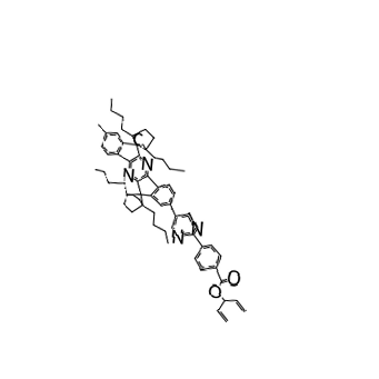 C=CC(C=C)OC(=O)c1ccc(-c2ncc(-c3ccc4c(c3)C3(c5nc6c(nc5-4)C4(c5cc(C)ccc5-6)C5(CCCC)CCC4(CCCC)CC5)C4(CCCC)CCC3(CCCC)CC4)cn2)cc1